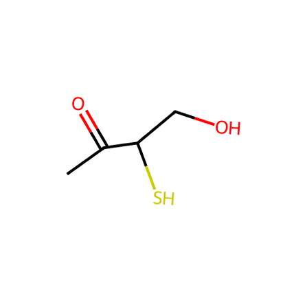 CC(=O)C(S)CO